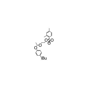 CCC(C)c1ccc(OC(C)OCCOS(=O)(=O)c2ccc(C)cc2C)cc1